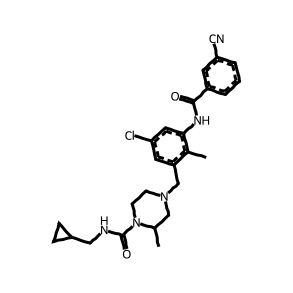 Cc1c(CN2CCN(C(=O)NCC3CC3)C(C)C2)cc(Cl)cc1NC(=O)c1cccc(C#N)c1